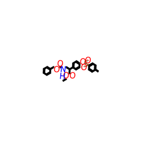 CCOC(=O)C(CNC(=O)OCc1ccccc1)c1ccc(OS(=O)(=O)c2ccc(C)cc2)cc1